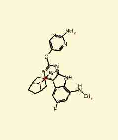 CNc1cc(F)cc2c1[nH]c1nc(Oc3cnc(N)nc3)nc(N3C4CCC3CC(N)C4)c12